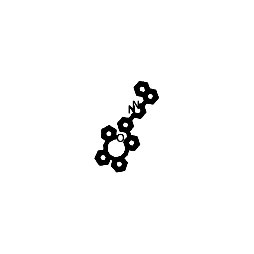 c1cc(-c2ccc(-c3cccc4ccccc34)nn2)cc(-c2cccc3c2Oc2ccccc2Cc2ccccc2-c2ccccc2C3)c1